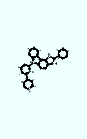 c1ccc(C2Nc3ccc4c(c3O2)c2ccccc2n4-c2cccc(-c3ccncc3)n2)cc1